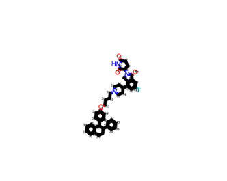 O=C1CCC(N2Cc3c(cc(F)cc3C3CCN(CCCCOc4ccc(C5c6ccccc6CCC5c5ccccc5)cc4)CC3)C2=O)C(=O)N1